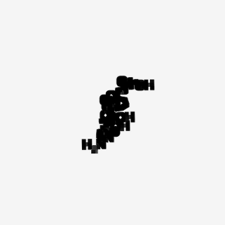 CC(C)(CO)C(=O)SCCOP(=O)(OC[C@H]1OC2(C)[C@@H](n3ccc(N)nc3=O)C2(O)C1O)N1CCCCC1